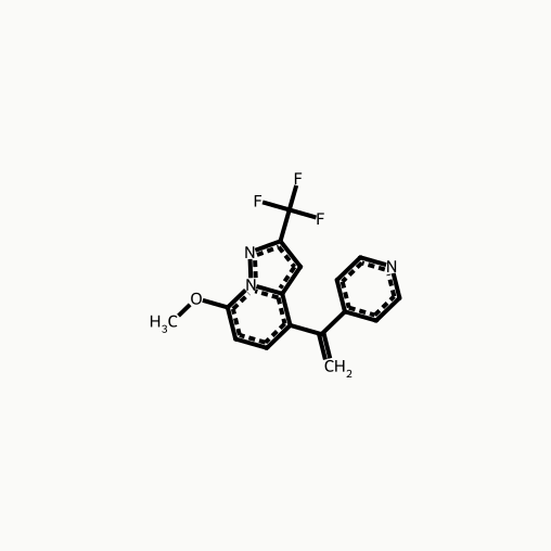 C=C(c1ccncc1)c1ccc(OC)n2nc(C(F)(F)F)cc12